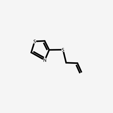 C=CCSc1cscn1